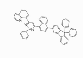 c1ccc(-c2nc(-c3ccc(-c4ccc5c(c4)-c4ccccc4C5(c4ccccc4)c4ccccc4)c4ccccc34)cc(-c3cccc4cccnc34)n2)cc1